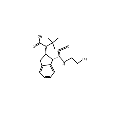 CC(C)(C)N(C(=O)O)[C@@H]1Cc2ccccc2[C@H]1C(NCCO)=S=O